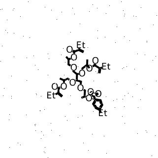 C=C(CC)C(=O)OC(C)COCC(OCC(C)OC(=O)C(=C)CC)C(COCC(C)OS(=O)(=O)c1ccc(CC)cc1)OCC(C)OC(=O)C(=C)CC